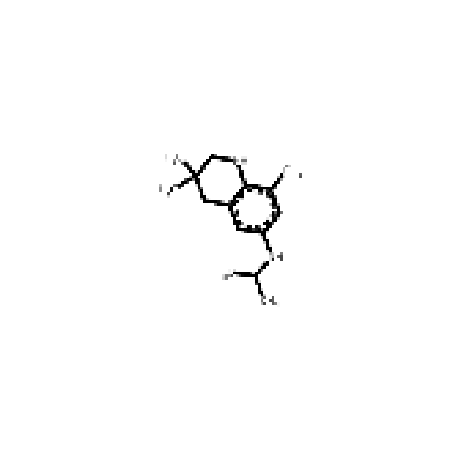 Cc1cc(NC(C)C)cc2c1NCC(C)(C)C2